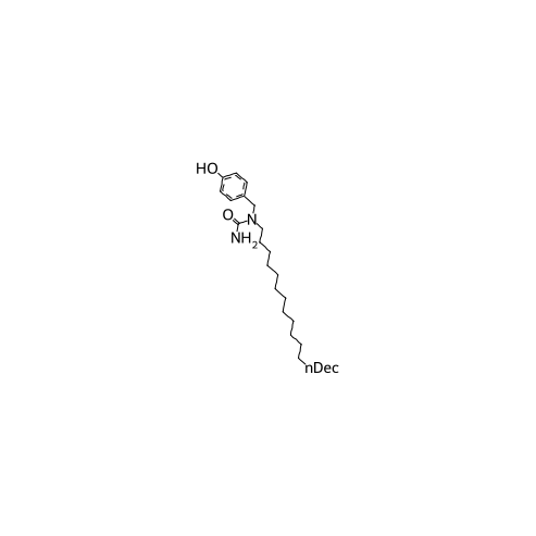 CCCCCCCCCCCCCCCCCCCCCCN(Cc1ccc(O)cc1)C(N)=O